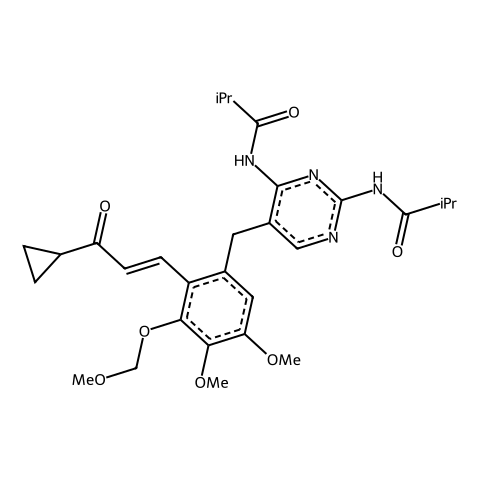 COCOc1c(/C=C/C(=O)C2CC2)c(Cc2cnc(NC(=O)C(C)C)nc2NC(=O)C(C)C)cc(OC)c1OC